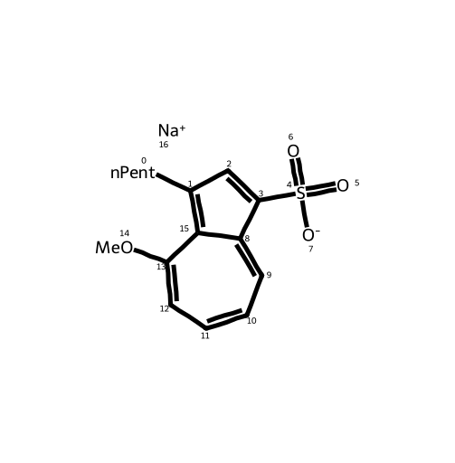 CCCCCc1cc(S(=O)(=O)[O-])c2ccccc(OC)c1-2.[Na+]